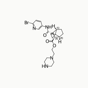 O=C(OCCN1CCNCC1)[C@H]1[C@H](C(=O)Nc2ccc(Br)nc2)[C@@H]2CC[C@H]1C21CC1